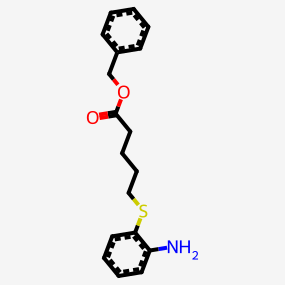 Nc1ccccc1SCCCCC(=O)OCc1ccccc1